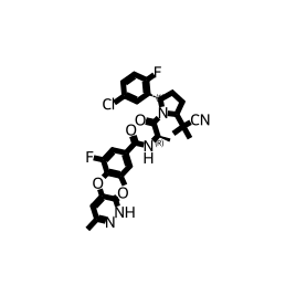 Cc1cc(Oc2c(C)cc(C(=O)N[C@H](C)C(=O)N3C(C(C)(C)C#N)CC[C@H]3c3cc(Cl)ccc3F)cc2F)c(=O)[nH]n1